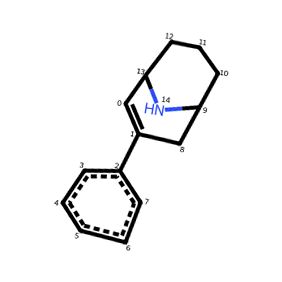 C1=C(c2ccccc2)CC2CCCC1N2